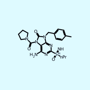 CCC[S@@](=N)(=O)c1nc(N)c2c(n1)n(Cc1ccc(C)cc1)c(=O)n2C(=O)N1CCCC1